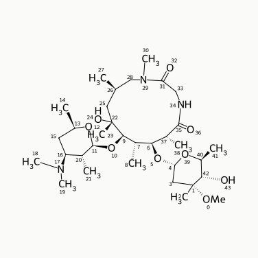 CO[C@]1(C)C[C@H](O[C@H]2[C@H](C)[C@@H](O[C@@H]3O[C@H](C)C[C@H](N(C)C)[C@H]3C)[C@](C)(O)C[C@@H](C)CN(C)C(=O)CNC(=O)[C@@H]2C)O[C@@H](C)[C@@H]1O